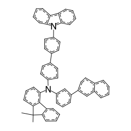 CC1(C)c2ccccc2-c2c(N(c3ccc(-c4ccc(-n5c6ccccc6c6ccccc65)cc4)cc3)c3cccc(-c4ccc5ccccc5c4)c3)cccc21